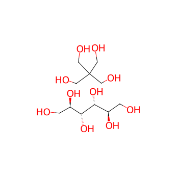 OCC(CO)(CO)CO.OC[C@@H](O)[C@@H](O)[C@H](O)[C@H](O)CO